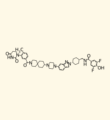 Cc1ccc(C(=O)N2CCC3(CCC(N4CCN(c5ccc6cn([C@H]7CC[C@H](CNC(=O)c8cc(F)c(O)c(F)c8)CC7)nc6c5)CC4)CC3)CC2)cc1N1CCC(=O)NC1=O